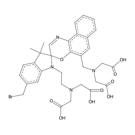 CC1(C)c2ccc(CBr)cc2N(CCN(CC(=O)O)CC(=O)O)C12C=Nc1c(c(CN(CC(=O)O)CC(=O)O)cc3ccccc13)O2